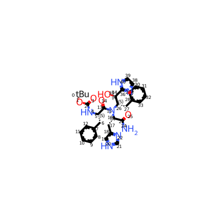 CC(C)(C)OC(=O)N[C@@H](Cc1ccccc1)C(=O)N([C@@H](Cc1c[nH]cn1)C(N)=O)[C@@H](Cc1ccccc1)[C@@H](O)c1ncc[nH]1